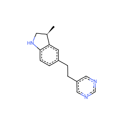 C[C@@H]1CNc2ccc(CCc3cncnc3)cc21